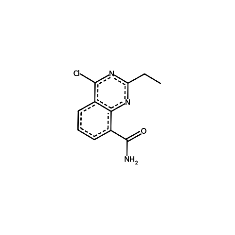 CCc1nc(Cl)c2cccc(C(N)=O)c2n1